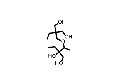 CCC(CO)(CO)COC(C)C(O)(CC)CO